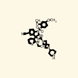 CCOc1ncccc1C1(NC(=O)N2CC3(C2)CN(C2CCNCC2)C3)C(=O)N(S(=O)(=O)c2ccc(OC)cc2OC)c2ccc(C#N)cc21